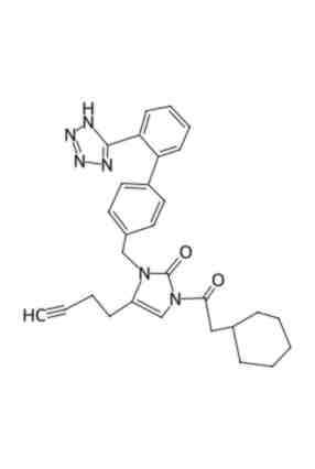 C#CCCc1cn(C(=O)CC2CCCCC2)c(=O)n1Cc1ccc(-c2ccccc2-c2nnn[nH]2)cc1